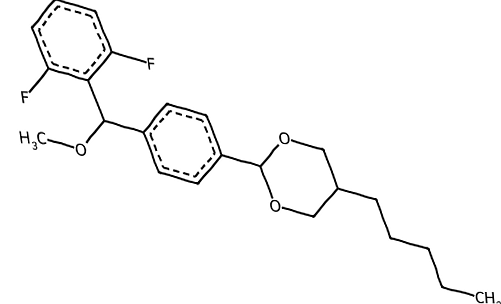 CCCCCC1COC(c2ccc(C(OC)c3c(F)cccc3F)cc2)OC1